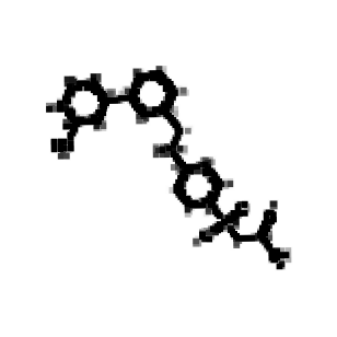 O=C(O)CS(=O)(=O)c1ccc(NCc2cccc(-c3ccnc(O)c3)c2)cc1